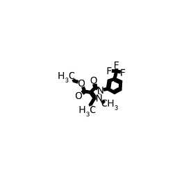 CCOC(=O)c1c(CC)n(C)n(-c2cccc(C(F)(F)F)c2)c1=O